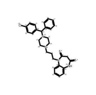 S=C1CC(=S)N(CCCN2CCN(C(c3ccccc3)c3ccc(Cl)cc3)CC2)c2ccccc2N1